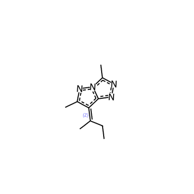 CC/C(C)=c1/c(C)nn2c(C)nnc12